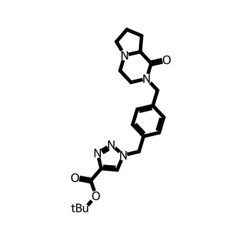 CC(C)(C)OC(=O)c1cn(Cc2ccc(CN3CCN4CCCC4C3=O)cc2)nn1